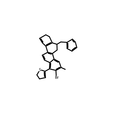 Cc1cc2c3c(ccc2c(C2=CCCS2)c1Br)C1=C(CCC=C1)C(Cc1ccccc1)C3